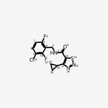 O=C(NCc1c(F)ccc(Cl)c1F)c1snnc1C1CC1